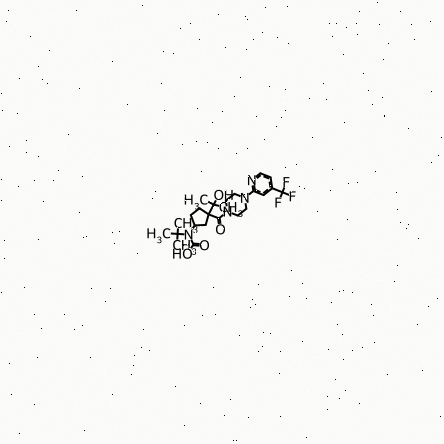 CC(C)(C)N(C(=O)O)C1CCC(C(=O)N2CCN(c3cc(C(F)(F)F)ccn3)CC2)(C(C)(C)O)C1